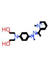 C/C(=N\N(C)c1ccc(N(CCO)CCO)cc1)c1cccc[n+]1C